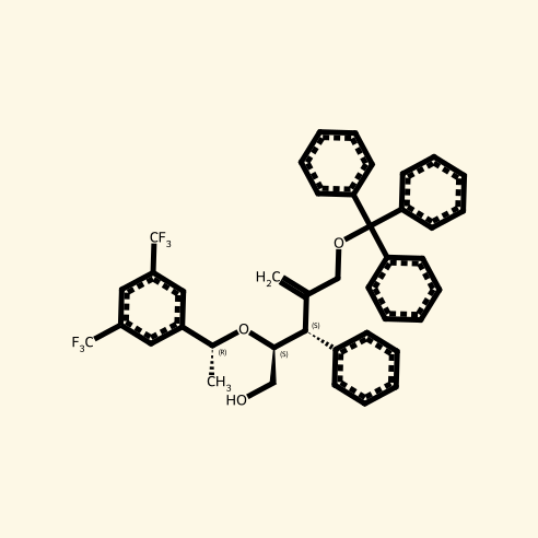 C=C(COC(c1ccccc1)(c1ccccc1)c1ccccc1)[C@H](c1ccccc1)[C@@H](CO)O[C@H](C)c1cc(C(F)(F)F)cc(C(F)(F)F)c1